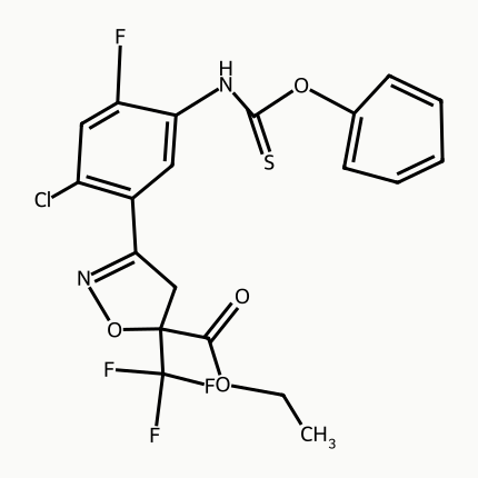 CCOC(=O)C1(C(F)(F)F)CC(c2cc(NC(=S)Oc3ccccc3)c(F)cc2Cl)=NO1